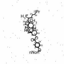 CCCCCCCCCOc1ccc(C(=O)O[C@H]2CC[C@@]3(C)C(=CC[C@H]4[C@@H]5CC[C@H]([C@H](C)CCCC(C)C)[C@@]5(C)CC[C@@H]43)C2)cc1